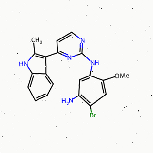 COc1cc(Br)c(N)cc1Nc1nccc(-c2c(C)[nH]c3ccccc23)n1